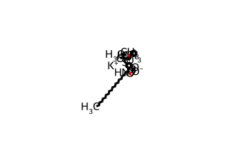 CCCCCCCCCCCCCCCCCCNC(=O)c1cc(SC(C(=O)Nc2ccccc2)C(=O)C(C)(C)C)ccc1S(=O)(=O)[O-].[K+]